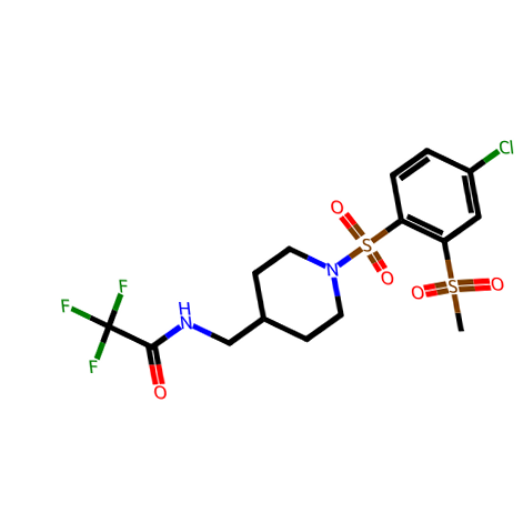 CS(=O)(=O)c1cc(Cl)ccc1S(=O)(=O)N1CCC(CNC(=O)C(F)(F)F)CC1